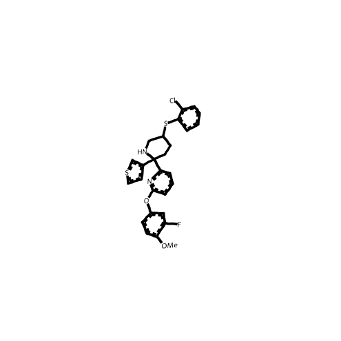 COc1ccc(Oc2cccc(C3(c4ccsc4)CCC(Sc4ccccc4Cl)CN3)n2)cc1F